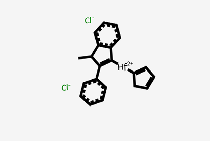 CC1C(c2ccccc2)=[C]([Hf+2][C]2=CC=CC2)c2ccccc21.[Cl-].[Cl-]